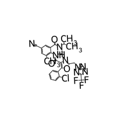 Cc1cc(C#N)cc(C(=O)NC(C)C)c1NC(=O)c1nc(Cn2nnc(C(F)(F)F)n2)oc1-c1ccccc1Cl